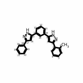 Cc1ccccc1-c1cc(-c2cccc(-c3cc(-c4ccccc4)n[nH]3)c2)[nH]n1